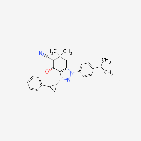 CC(C)c1ccc(-n2nc(C3CC3c3ccccc3)c3c2CC(C)(C)C(C#N)C3=O)cc1